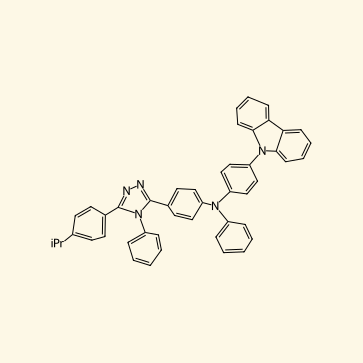 CC(C)c1ccc(-c2nnc(-c3ccc(N(c4ccccc4)c4ccc(-n5c6ccccc6c6ccccc65)cc4)cc3)n2-c2ccccc2)cc1